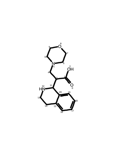 O=C(O)C(CN1CCOCC1)C1NCCc2ccccc21